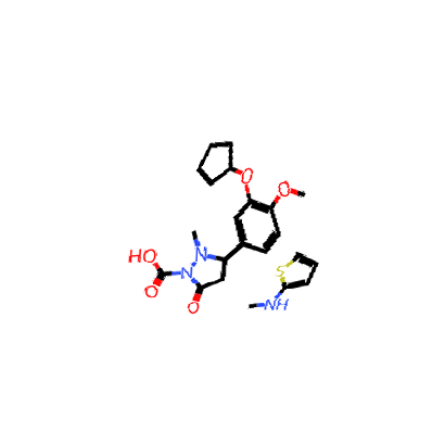 CNc1cccs1.COc1ccc(C2CC(=O)N(C(=O)O)N2C)cc1OC1CCCC1